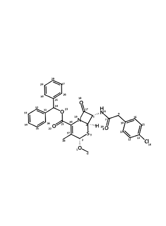 CO[C@H]1S[C@@H]2[C@@H](NC(=O)Cc3ccc(Cl)cc3)C(=O)N2C(C(=O)OC(c2ccccc2)c2ccccc2)=C1C